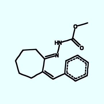 COC(=O)N/N=C1\CCCCC\C1=C\c1ccccc1